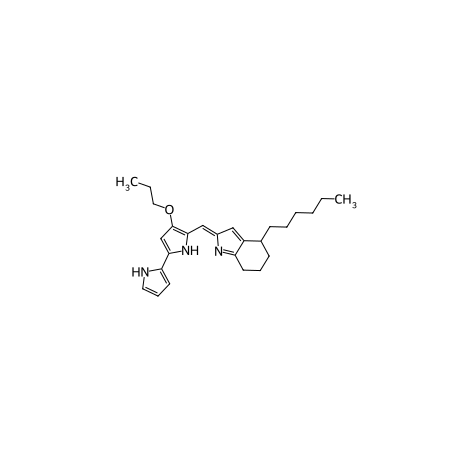 CCCCCCC1CCCC2=N/C(=C\c3[nH]c(-c4ccc[nH]4)cc3OCCC)C=C21